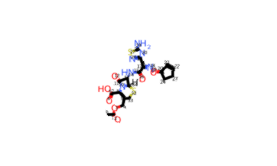 CC(=O)OCC1=C(C(=O)O)N2C(=O)[C@@H](NC(=O)/C(=N\OC3C=CCC3)c3nsc(N)n3)[C@H]2SC1